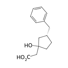 O=C(O)CC1(O)CC[C@@H](Cc2ccccc2)C1